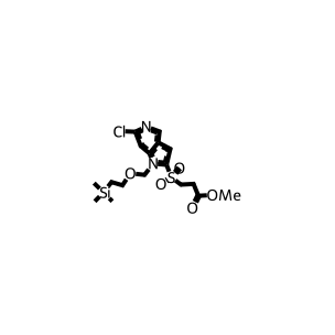 COC(=O)CCS(=O)(=O)c1cc2cnc(Cl)cc2n1COCC[Si](C)(C)C